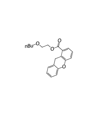 CCCCOCCOC(=O)c1cccc2c1Cc1ccccc1O2